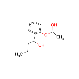 CCCC(O)c1ccccc1OC(C)O